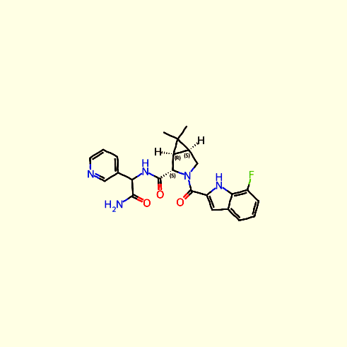 CC1(C)[C@@H]2[C@@H](C(=O)NC(C(N)=O)c3cccnc3)N(C(=O)c3cc4cccc(F)c4[nH]3)C[C@@H]21